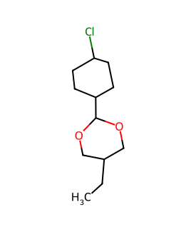 CCC1COC(C2CCC(Cl)CC2)OC1